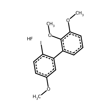 COc1ccc(I)c(-c2cccc(OC)c2OC)c1.F